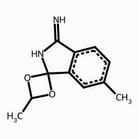 Cc1ccc2c(c1)C1(NC2=N)OC(C)O1